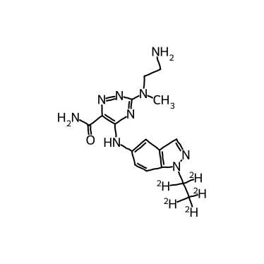 [2H]C([2H])([2H])C([2H])([2H])n1ncc2cc(Nc3nc(N(C)CCN)nnc3C(N)=O)ccc21